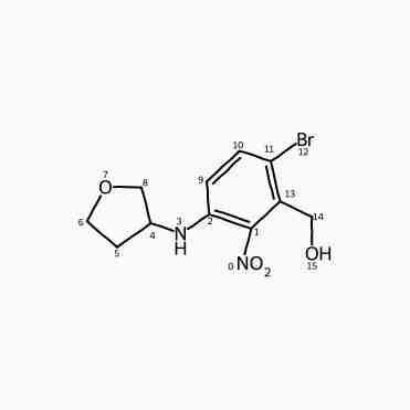 O=[N+]([O-])c1c(NC2CCOC2)ccc(Br)c1CO